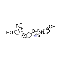 O=C1N=C(N2CCO[C@H](CO)C2)S/C1=C/c1ccc2c(cnn2Cc2ccc(O)cc2C(F)(F)F)c1